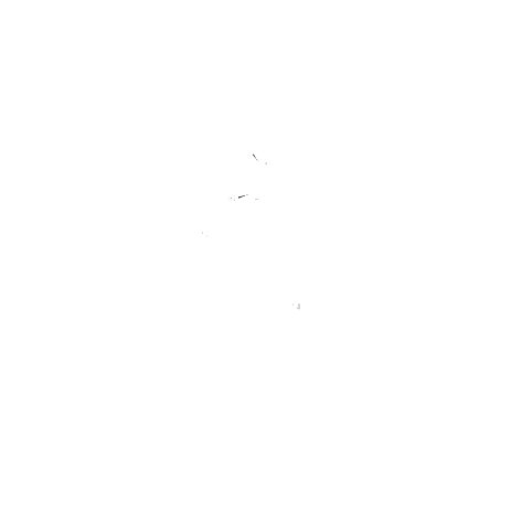 Cc1cnc(N[C@@H]2CCOC[C@@H]2F)cc1-c1c[nH]c(C(=O)O)c1